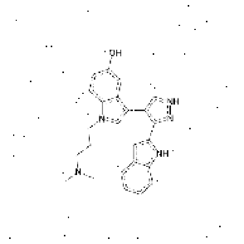 CN(C)CCCn1cc(-c2c[nH]nc2-c2cc3ccccc3[nH]2)c2cc(O)ccc21